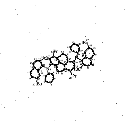 CC(C)c1cc(N(c2ccccc2)c2c(C(C)(C)C)ccc3ccc(C(C)(C)C)cc23)c2ccc3c(C(C)C)cc(N(c4ccccc4)c4c(C(C)(C)C)ccc5ccc(C(C)(C)C)cc45)c4ccc1c2c34